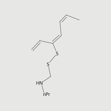 C=C/C(=C\C=C/C)SSCNCCC